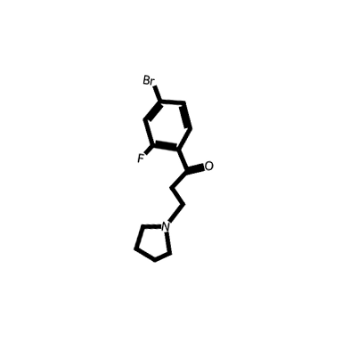 O=C(CCN1CCCC1)c1ccc(Br)cc1F